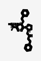 CN[C@@H](C)C(=O)N[C@@H](CCc1ccccc1)C(=O)N1CCC[C@H]1CNCCc1ccccc1